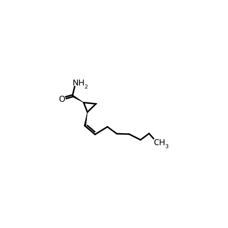 CCCCCC/C=C\[C@@H]1C[C@@H]1C(N)=O